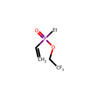 C=CP(=O)(CC)OCC(F)(F)F